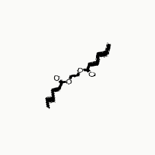 CC=CC=CC(=O)OCCOC(=O)C=CC=CC